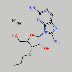 CCCO[C@H]1[C@@H](O)[C@H](n2c(N)nc3cnc(N)nc32)O[C@@H]1CO.[H-].[Na+]